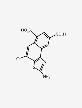 Nc1nc2c(s1)c(Cl)cc1c(S(=O)(=O)O)cc(S(=O)(=O)O)cc12